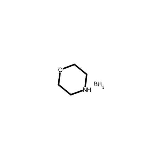 B.C1COCCN1